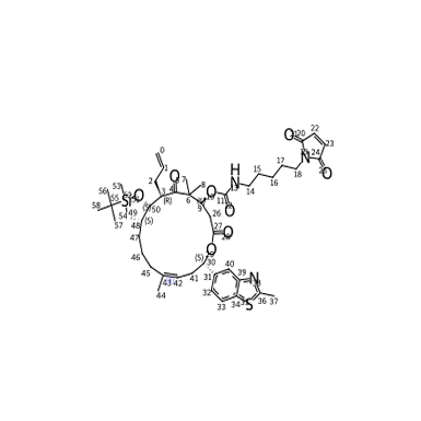 C=CC[C@H]1C(=O)C(C)(C)[C@@H](OC(=O)NCCCCCN2C(=O)C=CC2=O)CC(=O)O[C@H](c2ccc3sc(C)nc3c2)C/C=C(/C)CCC[C@H](C)[C@@H]1O[Si](C)(C)C(C)(C)C